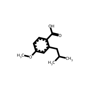 COc1ccc(C(=O)O)c(CC(C)C)c1